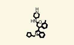 Cc1cccc(C(CC(=O)NC2CCNCC2)c2cn(CC3CCCC3)c3ccccc23)c1